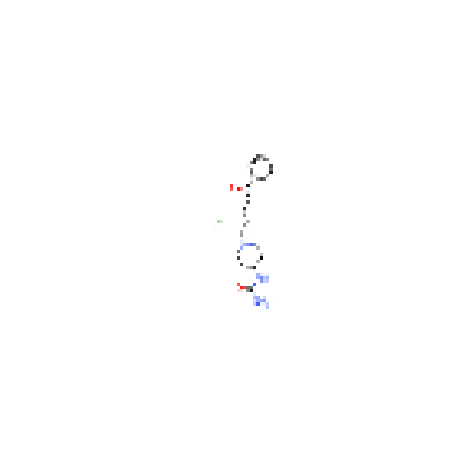 Cl.NC(=O)NC1CCN(CCCCC(=O)c2ccccc2)CC1